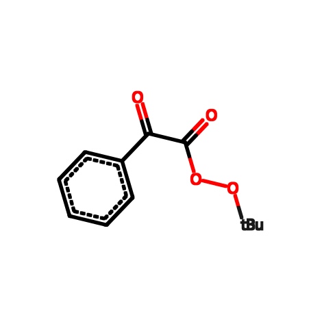 CC(C)(C)OOC(=O)C(=O)c1ccccc1